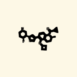 C[C@H]1CCc2c(ccc(-c3cnn([C@H]4CNCC[C@H]4F)c3)c2OC2CCC2)N1C(=O)C1CC1